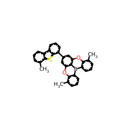 Cc1cccc2c1Oc1cc(-c3cccc4c3sc3c(C)cccc34)cc3c1B2c1cccc(C)c1O3